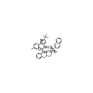 Cc1ccc(-n2nc(C(C)(C)C)cc2NC(=O)Nc2ccccc2CC2CCN(S(=O)(=O)c3ccc4ccccc4c3)CC2)cc1